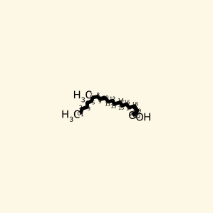 CCCCCCC(C)CC=CCCCCCCC/C=C\C(=O)O